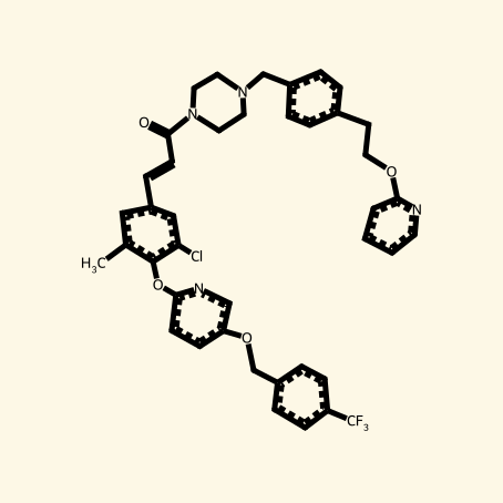 Cc1cc(/C=C/C(=O)N2CCN(Cc3ccc(CCOc4ccccn4)cc3)CC2)cc(Cl)c1Oc1ccc(OCc2ccc(C(F)(F)F)cc2)cn1